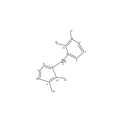 Cc1ccc[c]([Zn][c]2cccc(C)c2C)c1C